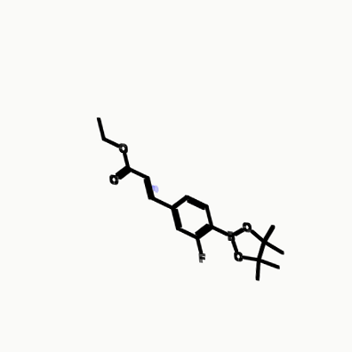 CCOC(=O)/C=C/c1ccc(B2OC(C)(C)C(C)(C)O2)c(F)c1